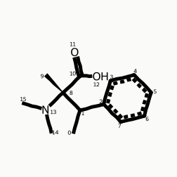 CC(c1ccccc1)[C@@](C)(C(=O)O)N(C)C